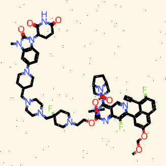 C#Cc1c(F)ccc2cc(OCOC)cc(-c3ncc4c(N5CC6CCC(C5)N6C(=O)OC(C)(C)C)nc(OCCN5CCC(F)(CN6CCN(CC7CCN(c8ccc9c(c8)n(C)c(=O)n9C8CCC(=O)NC8=O)CC7)CC6)CC5)nc4c3F)c12